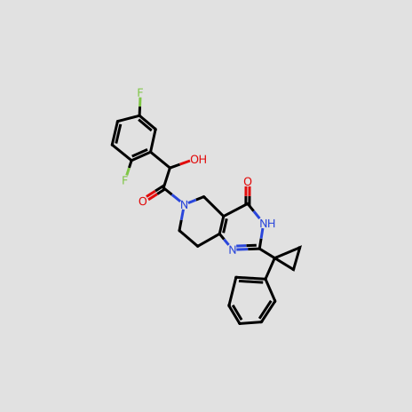 O=C(C(O)c1cc(F)ccc1F)N1CCc2nc(C3(c4ccccc4)CC3)[nH]c(=O)c2C1